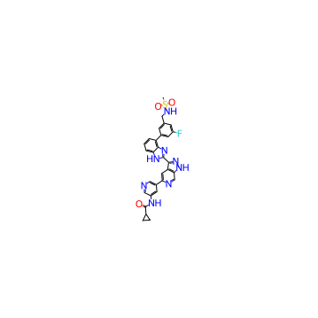 CS(=O)(=O)NCc1cc(F)cc(-c2cccc3[nH]c(-c4n[nH]c5cnc(-c6cncc(NC(=O)C7CC7)c6)cc45)nc23)c1